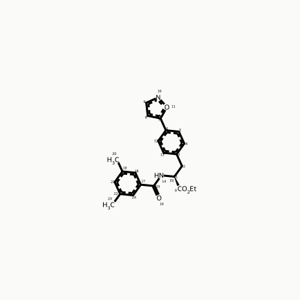 CCOC(=O)[C@H](Cc1ccc(-c2ccno2)cc1)NC(=O)c1cc(C)cc(C)c1